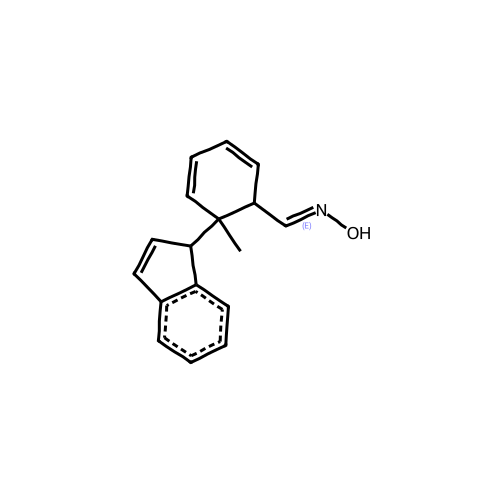 CC1(C2C=Cc3ccccc32)C=CC=CC1/C=N/O